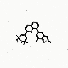 Cc1cc(-c2cccc3ccc(C4=CC(C)(C)NC(C)(C)C4)nc23)cc2cn(C)nc12